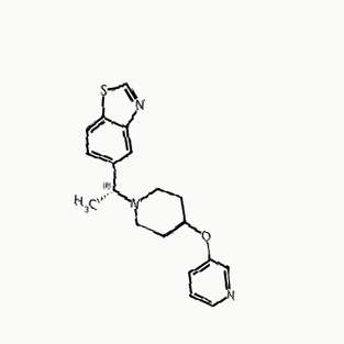 C[C@H](c1ccc2scnc2c1)N1CCC(Oc2cccnc2)CC1